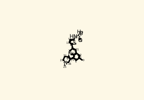 Cc1cc2c3c(c1)c1c(n3CC(c3ccc(N[SH](=O)=O)s3)=C2)CCN(C)C1